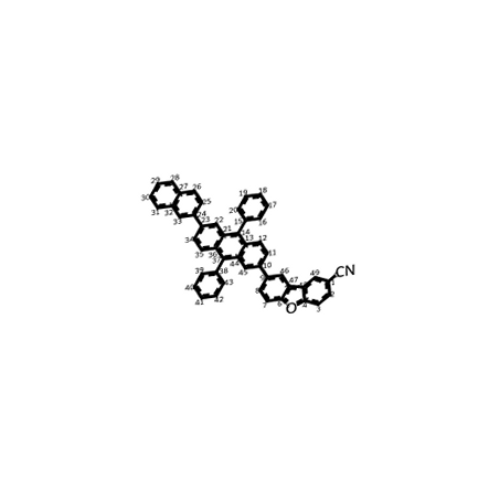 N#Cc1ccc2oc3ccc(-c4ccc5c(-c6ccccc6)c6cc(-c7ccc8ccccc8c7)ccc6c(-c6ccccc6)c5c4)cc3c2c1